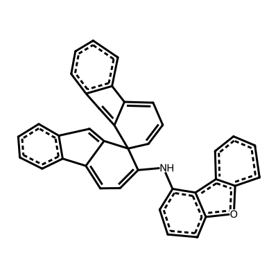 C1=CC2(C(Nc3cccc4oc5ccccc5c34)=CC=C3C2=Cc2ccccc23)C2=Cc3ccccc3C2=C1